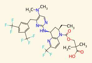 CC[C@@H]1C[C@H](Nc2ncc(N(C)C)c(Cc3cc(C(F)(F)F)cc(C(F)(F)F)c3)n2)c2nc(C(F)(F)F)ccc2N1C(=O)OCC(C)(C)C(=O)O